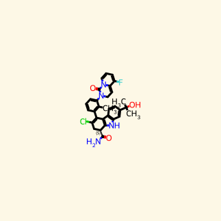 Cc1c(C2=C(Cl)C[C@H](C(N)=O)c3[nH]c4cc(C(C)(C)O)ccc4c32)cccc1N1CC=C2C(F)=CC=CN2C1=O